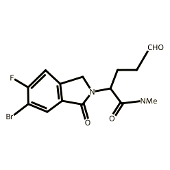 CNC(=O)C(CCC=O)N1Cc2cc(F)c(Br)cc2C1=O